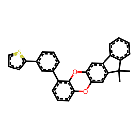 CC1(C)c2ccccc2-c2cc3c(cc21)Oc1cccc(-c2cccc(-c4cccs4)c2)c1O3